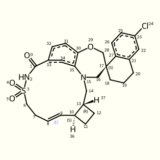 O=C1NS(=O)(=O)CC/C=C/[C@@H]2CC[C@H]2CN2C[C@@]3(CCCc4cc(Cl)ccc43)COc3ccc1cc32